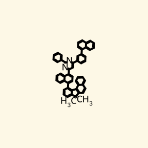 CC1(C)c2cccc(-c3ccc(-c4cc(-c5cccc(-c6cccc7ccccc67)c5)nc(-c5ccccc5)n4)c4ccccc34)c2-c2c1ccc1ccccc21